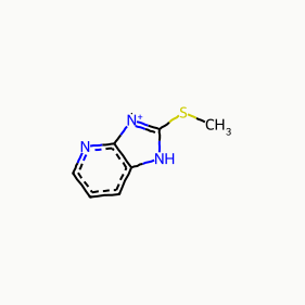 CSC1=[N+]c2ncccc2N1